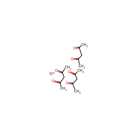 CC(=O)CC(C)=O.CC(=O)CC(C)=O.CC(=O)CC(C)=O.[Ti+4]